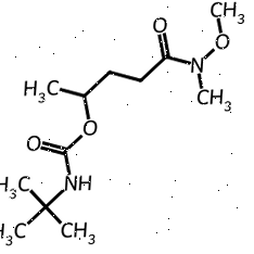 CON(C)C(=O)CCC(C)OC(=O)NC(C)(C)C